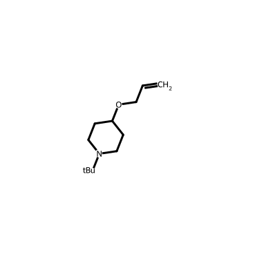 C=CCOC1CCN(C(C)(C)C)CC1